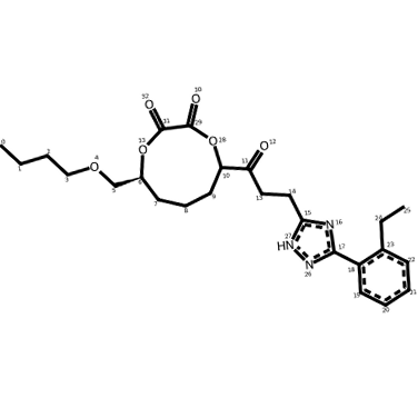 CCCCOC[C@@H]1CCCC(C(=O)CCc2nc(-c3ccccc3CC)n[nH]2)OC(=O)C(=O)O1